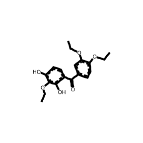 CCOc1ccc(C(=O)c2ccc(O)c(OCC)c2O)cc1OCC